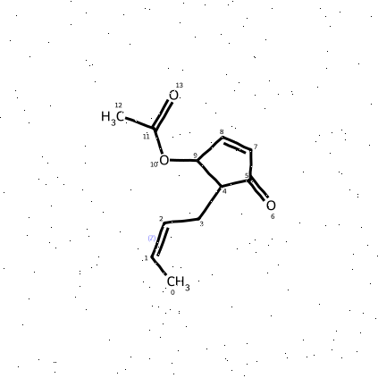 C/C=C\CC1C(=O)C=CC1OC(C)=O